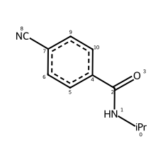 CC(C)NC(=O)c1ccc(C#N)cc1